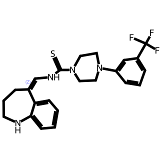 FC(F)(F)c1cccc(N2CCN(C(=S)N/C=C3/CCCNc4ccccc43)CC2)c1